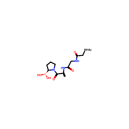 C=C(NC(=O)CNC(=O)CNC(C)=O)C(=O)N1CCCC1B(O)O